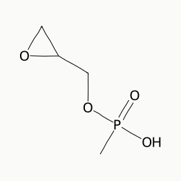 CP(=O)(O)OCC1CO1